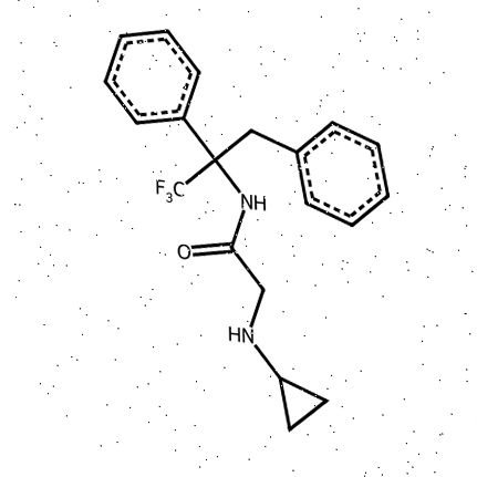 O=C(CNC1CC1)NC(Cc1ccccc1)(c1ccccc1)C(F)(F)F